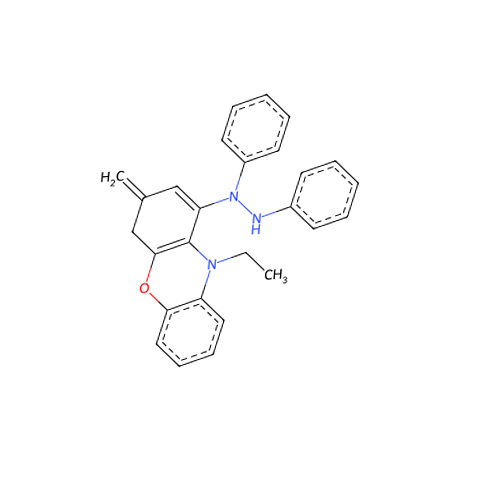 C=C1C=C(N(Nc2ccccc2)c2ccccc2)C2=C(C1)Oc1ccccc1N2CC